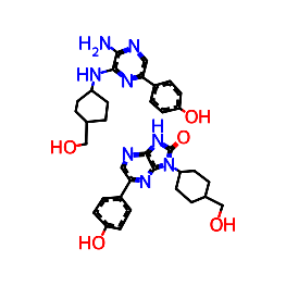 Nc1ncc(-c2ccc(O)cc2)nc1NC1CCC(CO)CC1.O=c1[nH]c2ncc(-c3ccc(O)cc3)nc2n1C1CCC(CO)CC1